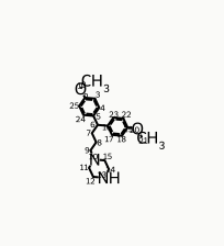 COc1ccc(C(CCCN2CCNCC2)c2ccc(OC)cc2)cc1